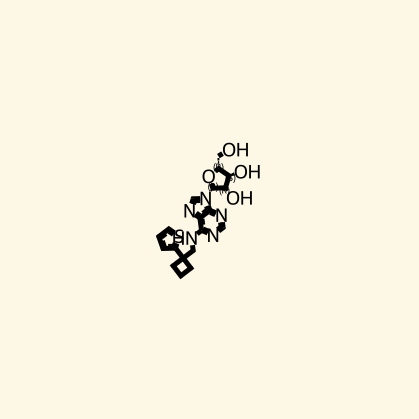 OC[C@H]1O[C@@H](n2cnc3c(NCC4(c5cccs5)CCC4)ncnc32)[C@H](O)[C@@H]1O